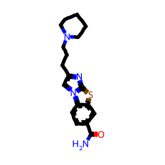 NC(=O)c1ccc2c(c1)sc1nc(CCCN3CCCCC3)cn12